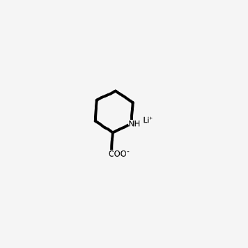 O=C([O-])C1CCCCN1.[Li+]